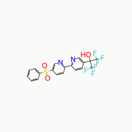 O=S(=O)(c1ccccc1)c1ccc(-c2ccc(C(O)(C(F)(F)F)C(F)(F)F)cn2)nc1